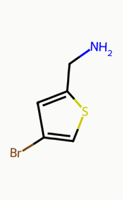 NCc1cc(Br)cs1